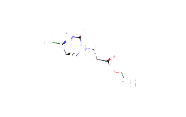 CCOC(=O)CCn1ccc(Cl)nc1=O